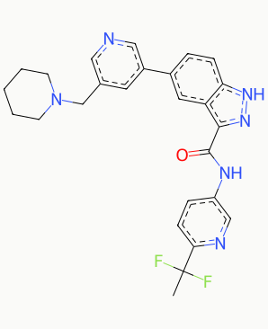 CC(F)(F)c1ccc(NC(=O)c2n[nH]c3ccc(-c4cncc(CN5CCCCC5)c4)cc23)cn1